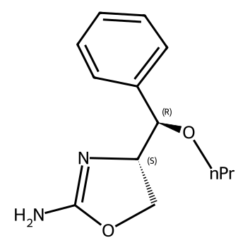 CCCO[C@H](c1ccccc1)[C@@H]1COC(N)=N1